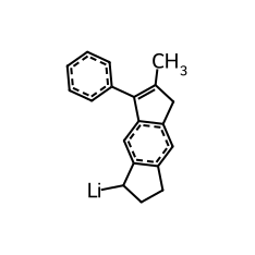 [Li][CH]1CCc2cc3c(cc21)C(c1ccccc1)=C(C)C3